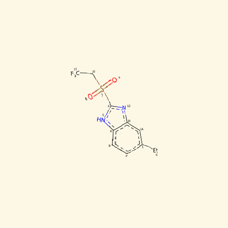 CCc1ccc2[nH]c(S(=O)(=O)CC(F)(F)F)nc2c1